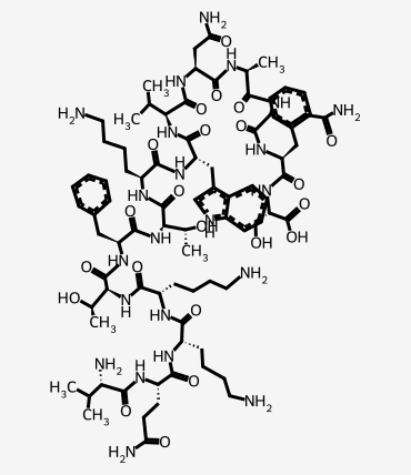 CC(C)[C@H](N)C(=O)N[C@@H](CCC(N)=O)C(=O)N[C@@H](CCCCN)C(=O)N[C@@H](CCCCN)C(=O)N[C@H](C(=O)N[C@@H](Cc1ccccc1)C(=O)N[C@H](C(=O)N[C@@H](CCCCN)C(=O)N[C@@H](Cc1c[nH]c2ccccc12)C(=O)N[C@H](C(=O)N[C@@H](CC(N)=O)C(=O)N[C@@H](C)C(=O)N[C@@H](CCC(N)=O)C(=O)N[C@@H](Cc1ccccc1)C(=O)N[C@@H](CO)C(=O)O)C(C)C)[C@@H](C)O)[C@@H](C)O